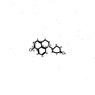 O=C1CCC(N2CCc3cnc(Cl)c4cccc2c34)CC1